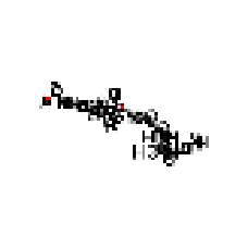 Cc1ncsc1-c1ccc(CNC(=O)[C@@H]2C[C@@H](O)CN2C(=O)[C@@H](NC(=O)CCCC(=O)N2CCN(CC[C@H](CSc3ccccc3)Nc3ccc(S(=O)(=O)NC(=O)c4ccc(N5CCN(CC6=C(C78CC(C)(C7)C8)CC(C)(C)CC6)CC5)cc4)cc3S(=O)(=O)C(F)(F)F)CC2)C(C)(C)C)cc1